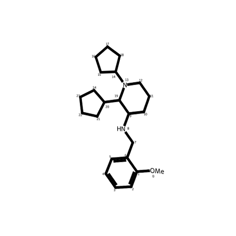 COc1ccccc1CNC1CCCN(C2CCCC2)C1C1CCCC1